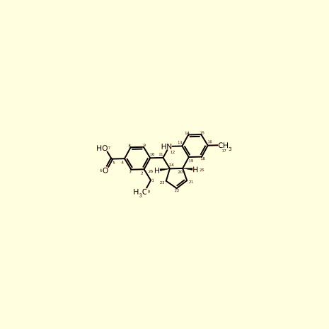 CCc1cc(C(=O)O)ccc1C1Nc2ccc(C)cc2[C@@H]2C=CC[C@H]12